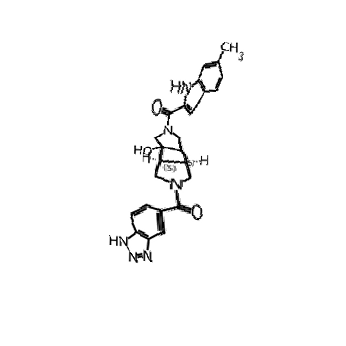 Cc1ccc2cc(C(=O)N3CC4[C@H]5CN(C(=O)c6ccc7[nH]nnc7c6)C[C@H]5C4(O)C3)[nH]c2c1